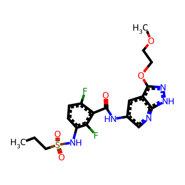 CCCS(=O)(=O)Nc1ccc(F)c(C(=O)Nc2cnc3[nH]nc(OCCOC)c3c2)c1F